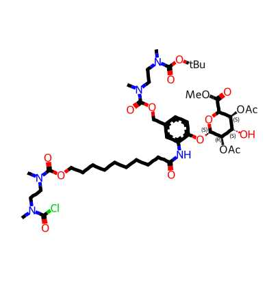 COC(=O)C1O[C@@H](Oc2ccc(COC(=O)N(C)CCN(C)C(=O)OC(C)(C)C)cc2NC(=O)CCCCCCCCCOC(=O)N(C)CCN(C)C(=O)Cl)[C@H](OC(C)=O)[C@@H](O)[C@@H]1OC(C)=O